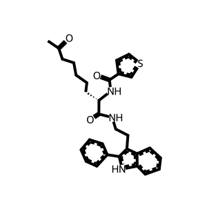 CC(=O)CCCCC[C@H](NC(=O)c1ccsc1)C(=O)NCCc1c(-c2ccccc2)[nH]c2ccccc12